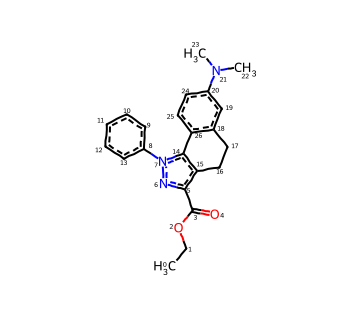 CCOC(=O)c1nn(-c2ccccc2)c2c1CCc1cc(N(C)C)ccc1-2